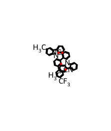 Cc1ccc2c(c1)c1ccccc1n2-c1ccc(-c2ccc(C(F)(F)F)cc2C#N)cc1-c1c(C#N)cccc1-n1c2ccccc2c2cc(C)ccc21